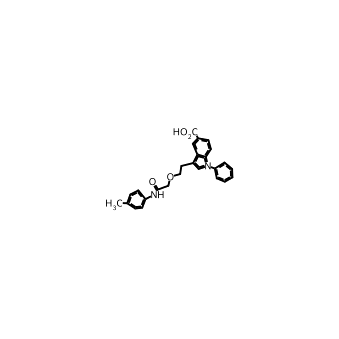 Cc1ccc(NC(=O)COCCc2cn(-c3ccccc3)c3ccc(C(=O)O)cc23)cc1